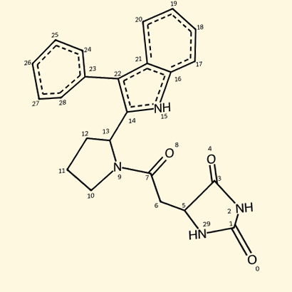 O=C1NC(=O)C(CC(=O)N2CCCC2c2[nH]c3ccccc3c2-c2ccccc2)N1